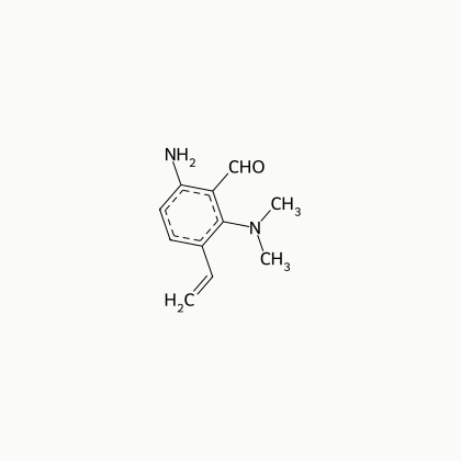 C=Cc1ccc(N)c(C=O)c1N(C)C